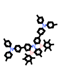 Cc1ccc(N(c2ccc(C)cc2)c2ccc(-c3ccc4c(c3)B(c3c(C)c(C)c(C)c(C)c3C)c3cc(C)cc5c3N4c3ccc(-c4ccc(N(c6ccc(C)cc6)c6ccc(C)cc6)cc4)cc3B5c3c(C)c(C)c(C)c(C)c3C)cc2)cc1